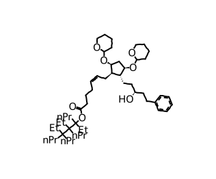 CCCC(CC)(CCC)C(CC)(CCC)C(CC)(CCC)OC(=O)CCC/C=C\C[C@@H]1[C@@H](CC[C@@H](O)CCc2ccccc2)[C@H](OC2CCCCO2)C[C@@H]1OC1CCCCO1